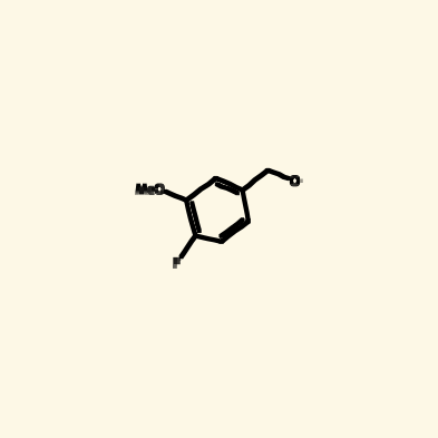 COc1cc(C[O])ccc1F